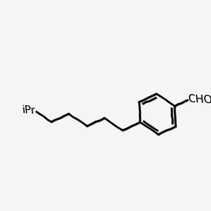 CC(C)CCCCCc1ccc(C=O)cc1